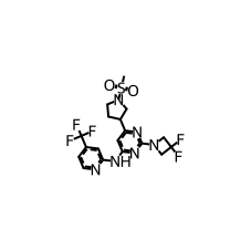 CS(=O)(=O)N1CCC(c2cc(Nc3cc(C(F)(F)F)ccn3)nc(N3CC(F)(F)C3)n2)C1